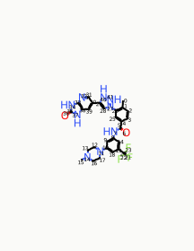 Cc1ccc(C(=O)Nc2cc(N3CCN(C)CC3)cc(C(F)(F)F)c2)cc1N1C=C(c2cnc3[nH]c(=O)[nH]c3c2)NN1